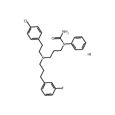 I.NC(=O)N(CCCN(CCCc1cccc(F)c1)CCc1ccc(Cl)cc1)c1ccccc1